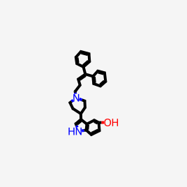 Oc1ccc2[nH]cc(C3CCN(CCC=C(c4ccccc4)c4ccccc4)CC3)c2c1